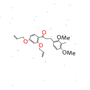 C=CCOc1ccc(C(=O)CCc2ccc(OC)c(C)c2OC)c(OCC=C)c1